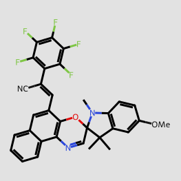 COc1ccc2c(c1)C(C)(C)C1(C=Nc3c(c(C=C(C#N)c4c(F)c(F)c(F)c(F)c4F)cc4ccccc34)O1)N2C